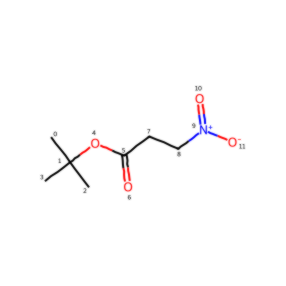 CC(C)(C)OC(=O)CC[N+](=O)[O-]